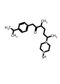 CC(CCC(C)N1CCN(S)CC1)C(=O)Cc1ccc(C(C)C)cc1